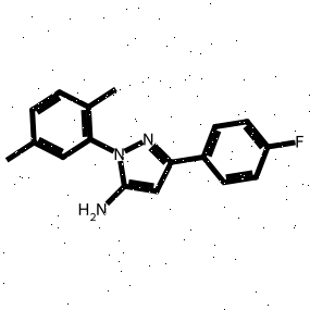 Cc1ccc(C)c(-n2nc(-c3ccc(F)cc3)cc2N)c1